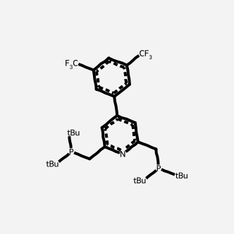 CC(C)(C)P(Cc1cc(-c2cc(C(F)(F)F)cc(C(F)(F)F)c2)cc(CP(C(C)(C)C)C(C)(C)C)n1)C(C)(C)C